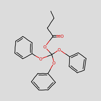 CCCC(=O)OC(Oc1ccccc1)(Oc1ccccc1)Oc1ccccc1